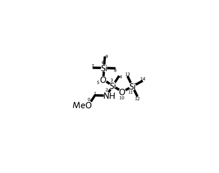 COCN[Si](C)(O[Si](C)(C)C)O[Si](C)(C)C